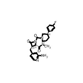 CNC(=O)[C@@H]1[C@@H](Cc2ccnc(N)c2)C(=O)N1C(=O)N1CCC[C@H](c2ccc(F)cc2)C1